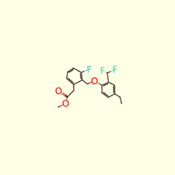 CCc1ccc(OCc2c(F)cccc2CC(=O)OC)c(C(F)F)c1